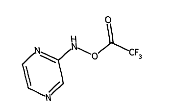 O=C(ONc1cnccn1)C(F)(F)F